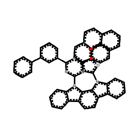 c1ccc(-c2cccc(-c3nc(-c4ccccc4)nc(-n4c5ccccc5c5ccc6c7ccccc7n(-c7nc8ccc9ccc%10ccccc%10c9c8o7)c6c54)n3)c2)cc1